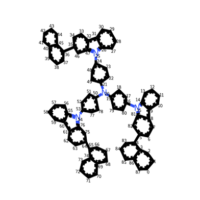 c1ccc2c(-c3ccc4c5ccccc5n(-c5ccc(N(c6ccc(-n7c8ccccc8c8ccc(-c9cccc%10ccccc9%10)cc87)cc6)c6ccc(-n7c8ccccc8c8ccc(-c9cccc%10ccccc9%10)cc87)cc6)cc5)c4c3)cccc2c1